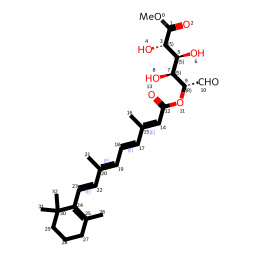 COC(=O)[C@@H](O)[C@@H](O)[C@H](O)[C@H](C=O)OC(=O)/C=C(C)/C=C/C=C(C)/C=C/C1=C(C)CCCC1(C)C